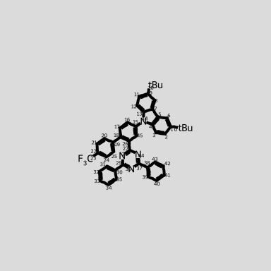 CC(C)(C)c1ccc2c(c1)c1cc(C(C)(C)C)ccc1n2-c1ccc(-c2ccc(C(F)(F)F)cc2)c(-c2nc(-c3ccccc3)nc(-c3ccccc3)n2)c1